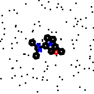 c1ccc(-c2cc(-c3ccccc3)nc(-c3cc(-c4ccccc4)c(-n4c5ccccc5c5cc6c(cc54)oc4ccccc46)c(-c4ccccc4)c3)n2)cc1